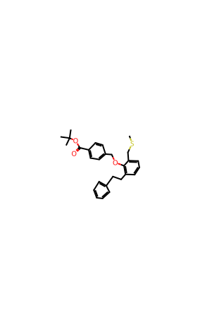 CSCc1cccc(CCc2ccccc2)c1OCc1ccc(C(=O)OC(C)(C)C)cc1